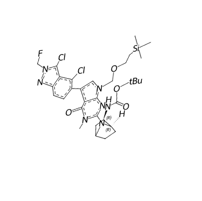 Cn1c(N2C3CC[C@@H]2[C@H](NC(=O)OC(C)(C)C)C3)nc2c(c(-c3ccc4nn(CF)c(Cl)c4c3Cl)cn2COCC[Si](C)(C)C)c1=O